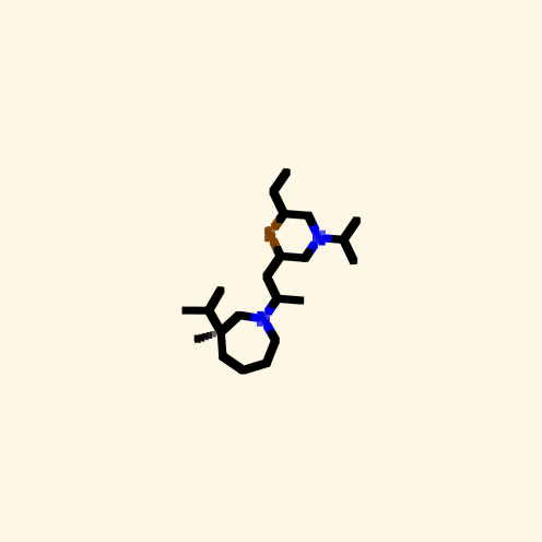 CCC1CN(C(C)C)CC(CC(C)N2CCCC[C@@](C)(C(C)C)C2)S1